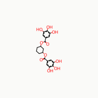 O=C(OC1CCCC(OC(=O)c2cc(O)c(O)c(O)c2)C1)c1cc(O)c(O)c(O)c1